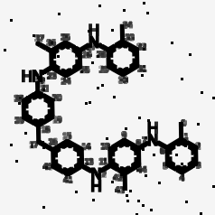 Cc1ccccc1Nc1ccc(Nc2ccc(Cc3ccc(Nc4ccc(Nc5ccccc5C)cc4C)cc3)cc2)c(C)c1